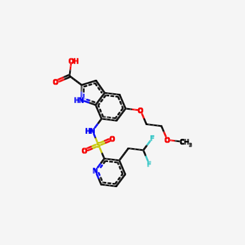 COCCOc1cc(NS(=O)(=O)c2ncccc2CC(F)F)c2[nH]c(C(=O)O)cc2c1